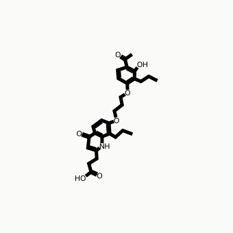 CCCc1c(OCCCOc2ccc3c(=O)cc(CCC(=O)O)[nH]c3c2CCC)ccc(C(C)=O)c1O